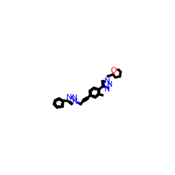 Cc1cc(C#CCn2cc(-c3ccccc3)nn2)ccc1-c1cn(CC2CCCCO2)nn1